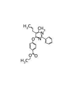 C=CCc1c(C)nc(-c2ccccc2)nc1Oc1ccc(C(=O)OCC)cc1